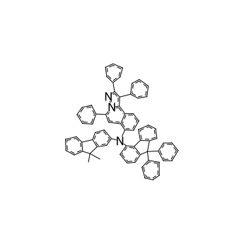 CC1(C)c2ccccc2-c2ccc(N(c3cccc4c3-c3ccccc3C4(c3ccccc3)c3ccccc3)c3cccc4c3cc(-c3ccccc3)n3nc(-c5ccccc5)c(-c5ccccc5)c43)cc21